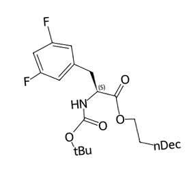 CCCCCCCCCCCCOC(=O)[C@H](Cc1cc(F)cc(F)c1)NC(=O)OC(C)(C)C